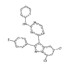 Fc1ccc(-c2nn3c(Cl)cc(Cl)cc3c2-c2ccnc(Nc3ccccc3)n2)cc1